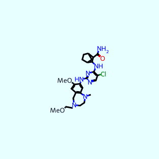 COCCN1CCN(C)c2cc(Nc3ncc(Cl)c(NC4C5CCC(C5)C4C(N)=O)n3)c(OC)cc2C1